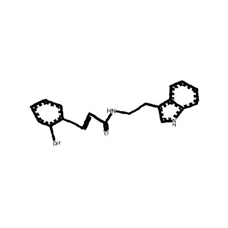 O=C(C=Cc1ccccc1O)NCCc1c[nH]c2ccccc12